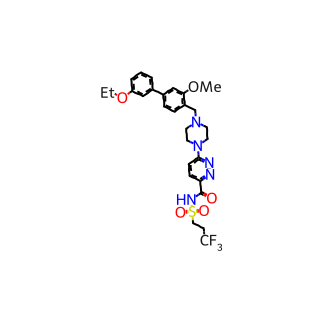 CCOc1cccc(-c2ccc(CN3CCN(c4ccc(C(=O)NS(=O)(=O)CCC(F)(F)F)nn4)CC3)c(OC)c2)c1